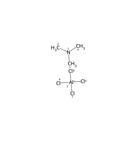 CN(C)C.[Cl][Al-]([Cl])([Cl])[Cl]